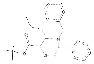 CCCC[C@@H]([C@H](O)C(=O)OC(C)(C)C)N(Cc1ccccc1)[C@@H](C)c1ccccc1